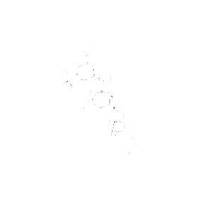 COc1cc(Nc2nc(C)cc(Nc3cc(C4CC4)n[nH]3)n2)cc(C(F)(F)F)c1